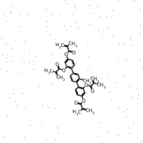 C=C(C)C(=O)Oc1ccc(-c2ccc(-c3ccc(OC(=O)C(=C)C)cc3OC(=O)C(=C)C)c(C)c2)c(OC(=O)C(=C)C)c1